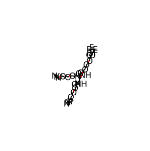 [N-]=[N+]=NCCOCCOCCOCCNC(=O)C(CCCCNC(=O)COCCOCCOCCN=[N+]=[N-])NC(=O)CCOCCOCCOCCC(=O)Oc1c(F)c(F)c(F)c(F)c1F